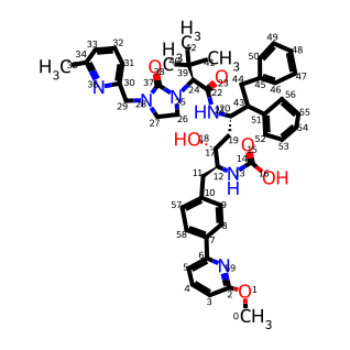 COc1cccc(-c2ccc(C[C@H](NC(=O)O)[C@H](O)C[C@H](NC(=O)[C@@H](N3CCN(Cc4cccc(C)n4)C3=O)C(C)(C)C)C(Cc3ccccc3)c3ccccc3)cc2)n1